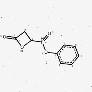 O=C1CC([PH](=O)Oc2ccccc2)O1